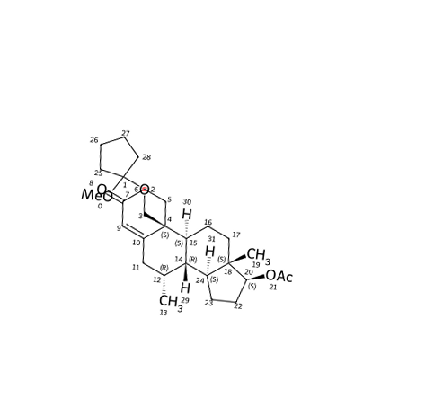 COC1(OC[C@]23CCC(=O)C=C2C[C@@H](C)[C@@H]2[C@@H]3CC[C@]3(C)[C@@H](OC(C)=O)CC[C@@H]23)CCCC1